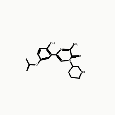 CC(C)Oc1ccc(O)c(-c2cn(C3CCCNC3)c(=O)c(N)n2)c1